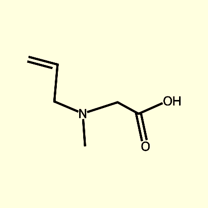 C=CCN(C)CC(=O)O